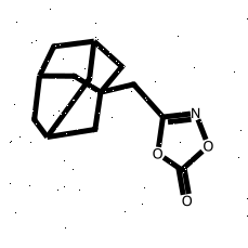 O=c1onc(CC23CC4CC(CC(C4)C2)C3)o1